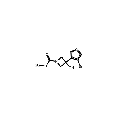 CC(C)(C)OC(=O)N1CC(O)(c2cscc2Br)C1